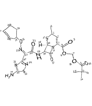 CC1C=C(C(=O)OCOC(=O)C(C)(C)C)N2C(=O)C(NC(=O)/C(=N\OC3C=CCC3)c3nsc(N)n3)[C@H]2S1